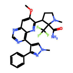 COc1cc2ncnc(-c3cn(C)nc3-c3ccccc3)c2nc1C1CCN(C)C1(C(N)=O)C(F)(F)F